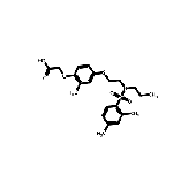 CCCN(CCSc1ccc(OCC(=O)O)c(C)c1)S(=O)(=O)c1ccc(C)cc1C